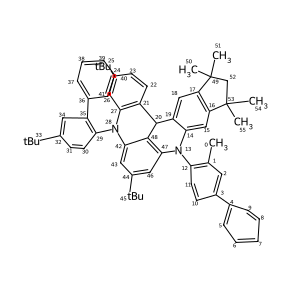 Cc1cc(-c2ccccc2)ccc1N1c2cc3c(cc2C2c4ccc(C(C)(C)C)cc4N(c4ccc(C(C)(C)C)cc4-c4ccccc4)c4cc(C(C)(C)C)cc1c42)C(C)(C)CC3(C)C